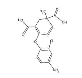 CC1(C(=O)O)C=CC(Oc2ccc(N)cc2Cl)=C(C(=O)O)C1